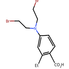 CCc1cc(N(CCBr)CCBr)ccc1C(=O)O